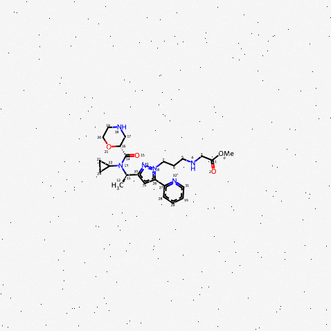 COC(=O)CNCCCn1nc([C@@H](C)N(C(=O)[C@H]2CNCCO2)C2CC2)cc1-c1ccccn1